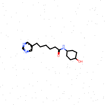 O=C(CCCCCc1cncnc1)NC1CCC(O)CC1